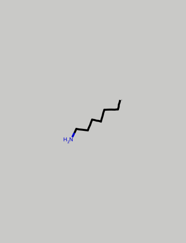 [CH2]CCCCCCN